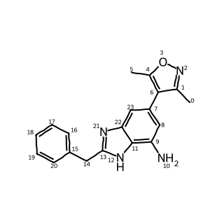 Cc1noc(C)c1-c1cc(N)c2[nH]c(Cc3ccccc3)nc2c1